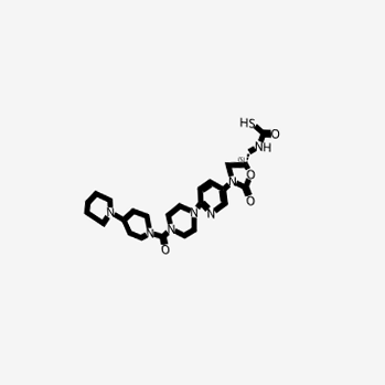 O=C(S)NC[C@H]1CN(c2ccc(N3CCN(C(=O)N4CCC(N5CCCCC5)CC4)CC3)nc2)C(=O)O1